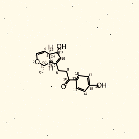 C[C@@H]1OC=C[C@@H]2[C@H]1C(CCC(=O)c1ccc(O)cc1)=C[C@H]2O